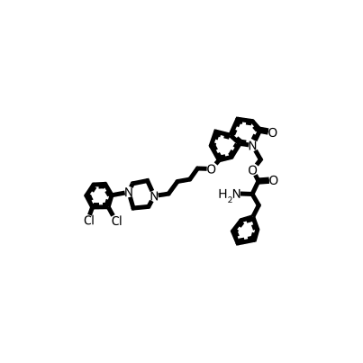 NC(Cc1ccccc1)C(=O)OCn1c(=O)ccc2ccc(OCCCCN3CCN(c4cccc(Cl)c4Cl)CC3)cc21